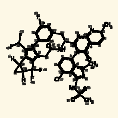 Cc1ccc2c(=O)n(-c3ccc(Cl)c4c(NS(C)(=O)=O)nn(C)c34)c([C@H](Cc3cc(F)cc(F)c3)NC(=O)Cn3nc(C(F)F)c4c3C(F)(F)[C@@H]3C[C@H]43)nc2n1